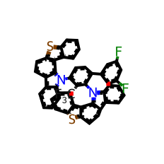 Fc1cc(F)cc(-c2ccc(-n3c4ccccc4c4ccc5sc6ccccc6c5c43)c(C(F)(F)F)c2-n2c3ccccc3c3ccc4sc5ccccc5c4c32)c1